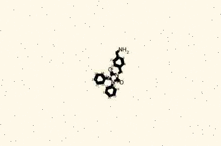 NCc1ccc(Cn2c(=O)n(-c3ccccc3)n(-c3ccccc3)c2=O)cc1